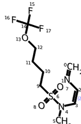 C=N/C=C\N(C)S(=O)(=O)CCCCOC(F)(F)F